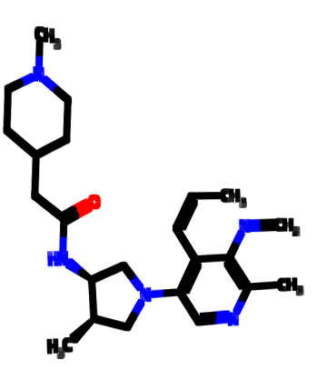 C=Nc1c(C)ncc(N2C[C@@H](C)[C@@H](NC(=O)CC3CCN(C)CC3)C2)c1/C=C\C